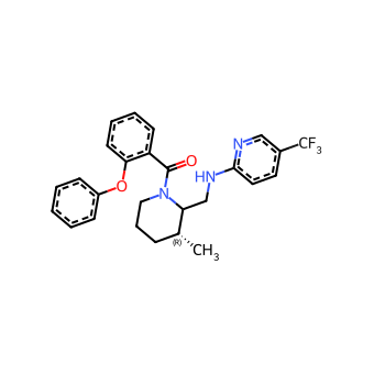 C[C@@H]1CCCN(C(=O)c2ccccc2Oc2ccccc2)C1CNc1ccc(C(F)(F)F)cn1